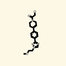 COCCn1cnc(-c2ccc(C3=CCN(C(=O)CCl)CC3)cc2)n1